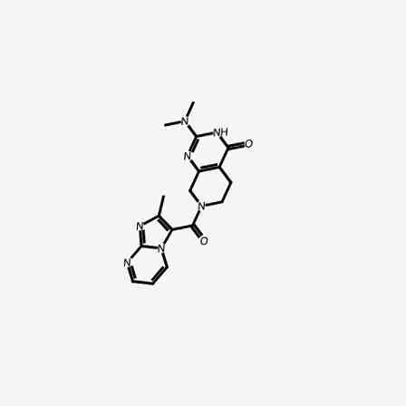 Cc1nc2ncccn2c1C(=O)N1CCc2c(nc(N(C)C)[nH]c2=O)C1